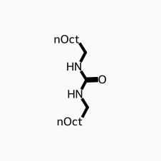 CCCCCCCCCNC(=O)NCCCCCCCCC